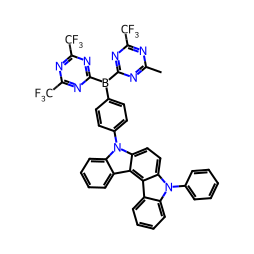 Cc1nc(B(c2ccc(-n3c4ccccc4c4c5c6ccccc6n(-c6ccccc6)c5ccc43)cc2)c2nc(C(F)(F)F)nc(C(F)(F)F)n2)nc(C(F)(F)F)n1